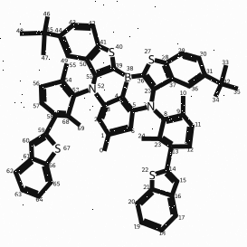 Cc1cc2c3c(c1)N(c1c(C)ccc(-c4cc5ccccc5s4)c1C)c1c(sc4ccc(C(C)(C)C)cc14)B3c1sc3ccc(C(C)(C)C)cc3c1N2c1c(C)ccc(-c2cc3ccccc3s2)c1C